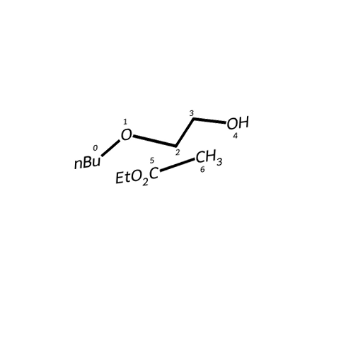 CCCCOCCO.CCOC(C)=O